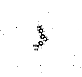 N=C(NO)c1ccc(N2CCCc3cc(-c4ccc(C(F)(F)F)cc4)ccc32)cc1